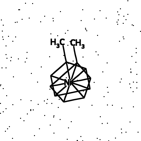 C[C]12[CH]3[CH]4[CH]5[CH]1[Ni]45321678[CH]2[CH]1[CH]6[C]7(C)[CH]28